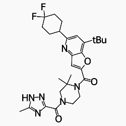 Cc1nc(C(=O)N2CCN(C(=O)c3cc4nc(C5CCC(F)(F)CC5)cc(C(C)(C)C)c4o3)C(C)(C)C2)n[nH]1